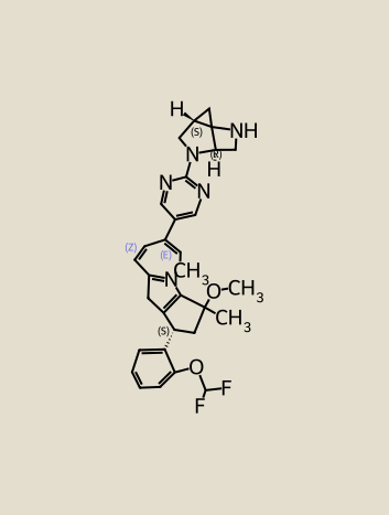 C/C=C(\C=C/C1=NC2=C(C1)[C@@H](c1ccccc1OC(F)F)CC2(C)OC)c1cnc(N2C[C@@H]3CC34NC[C@@H]24)nc1